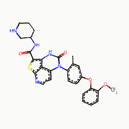 Cc1cc(Oc2ccccc2OC(F)(F)F)ccc1N1C(=O)Nc2c(C(=O)NC3CCCNC3)sc3nccc1c23